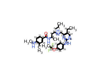 CCC[C@@H](C[C@@H](C)NC(=O)c1ccc(NC)c(C)c1)NCc1nc(Nc2ccc(OC(C)(F)F)cc2)ncc1CC